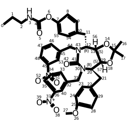 CCCNC(=O)Oc1ccc(C[C@@H]2[C@@H]3OC(C)(C)O[C@H]3[C@@H](Cc3ccc(OC)cc3)N(Cc3cccc([N+](=O)[O-])c3)C(=O)N2Cc2cccc([N+](=O)[O-])c2)cc1